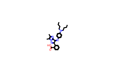 CCCCN(CCCC)c1ccc(N=C2C(c3ccccc3C(=O)O)=Nn3c2nc(C)c3C)cc1